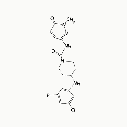 Cn1nc(NC(=O)N2CCC(Nc3cc(F)cc(Cl)c3)CC2)ccc1=O